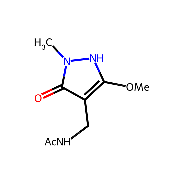 COc1[nH]n(C)c(=O)c1CNC(C)=O